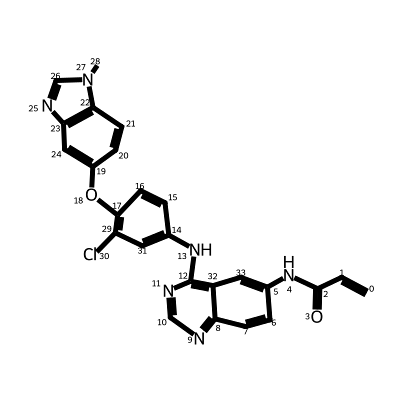 C=CC(=O)Nc1ccc2ncnc(Nc3ccc(Oc4ccc5c(c4)ncn5C)c(Cl)c3)c2c1